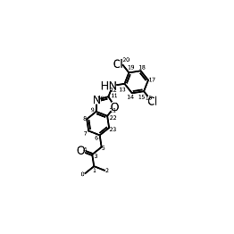 CC(C)C(=O)Cc1ccc2nc(Nc3cc(Cl)ccc3Cl)oc2c1